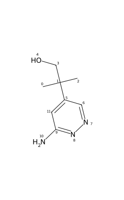 CC(C)(CO)c1cnnc(N)c1